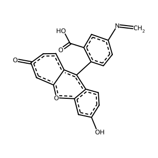 C=Nc1ccc(-c2c3ccc(=O)cc-3oc3cc(O)ccc23)c(C(=O)O)c1